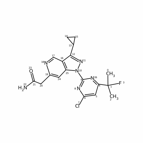 CC(C)(F)c1cc(Cl)nc(-n2nc(C3CC3)c3cnc(CC(N)=O)cc32)n1